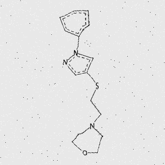 c1ccc(-n2cc(SCCN3CCOCC3)cn2)cc1